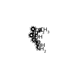 COCCCCC(O)(c1ccccc1Oc1ccccc1C)[C@@H]1CCCN(C(=O)CC(O)CN)C1